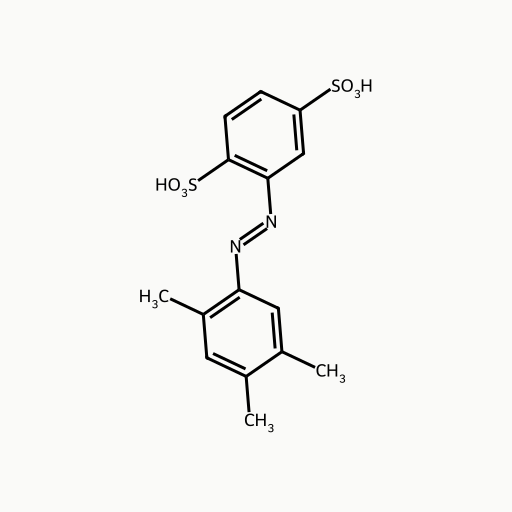 Cc1cc(C)c(N=Nc2cc(S(=O)(=O)O)ccc2S(=O)(=O)O)cc1C